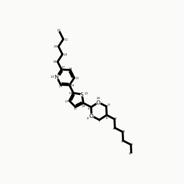 CCCCCCC1COC(c2ccc(-c3ccc(CCCCC)nc3)s2)OC1